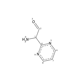 NC(C=O)c1ncccn1